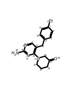 CCc1ccc(Cc2cnc(N)nc2N2CCCC(=O)C2)cc1